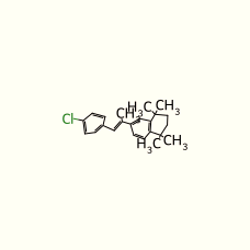 C/C(=C\c1ccc(Cl)cc1)c1ccc2c(c1)C(C)(C)CCC2(C)C